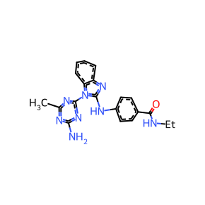 CCNC(=O)c1ccc(Nc2nc3ccccc3n2-c2nc(C)nc(N)n2)cc1